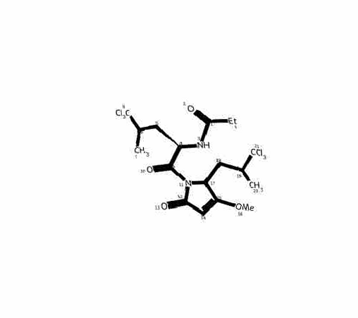 CCC(=O)N[C@H](CC(C)C(Cl)(Cl)Cl)C(=O)N1C(=O)C=C(OC)C1CC(C)C(Cl)(Cl)Cl